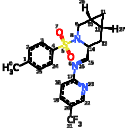 Cc1ccc(S(=O)(=O)N2C[C@@H]3C[C@@H]3C[C@H]2C=Nc2ccc(C(F)(F)F)cn2)cc1